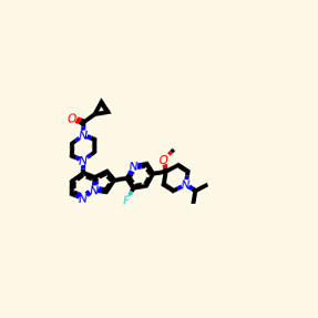 COC1(c2cnc(-c3cc4c(N5CCN(C(=O)C6CC6)CC5)ccnn4c3)c(F)c2)CCN(C(C)C)CC1